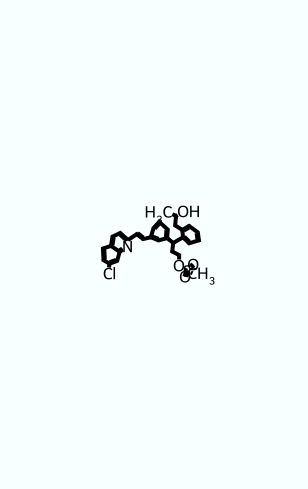 CC(O)Cc1ccccc1C(CCOS(C)(=O)=O)c1cccc(C=Cc2ccc3ccc(Cl)cc3n2)c1